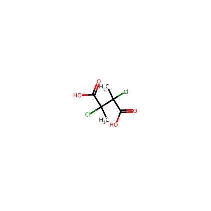 CC(Cl)(C(=O)O)C(C)(Cl)C(=O)O